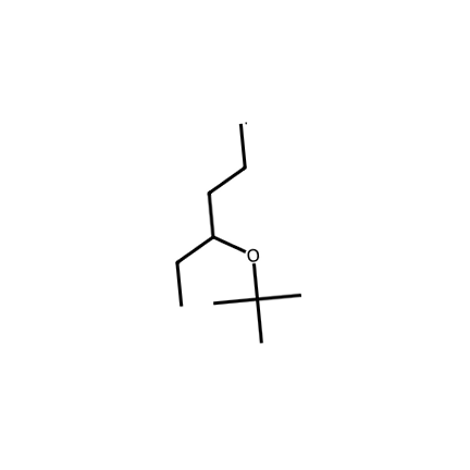 [CH2]CCC(CC)OC(C)(C)C